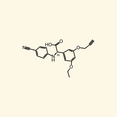 C#CCOc1cc(OCC)cc([C@@H](Nc2ccc(C#N)cc2)C(=O)O)c1